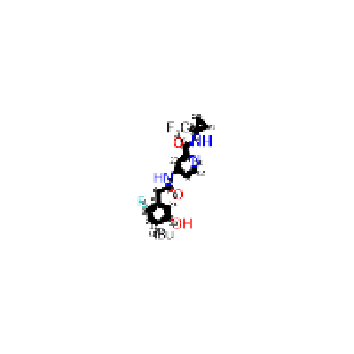 CC[C@@H](C)c1cc(F)c(CC(=O)Nc2ccnc(C(=O)NC3(C(F)(F)F)CC3)c2)cc1O